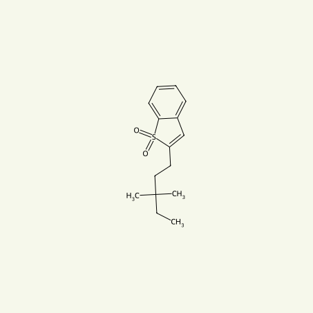 CCC(C)(C)CCC1=Cc2ccccc2S1(=O)=O